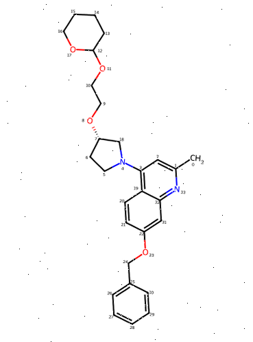 Cc1cc(N2CC[C@H](OCCOC3CCCCO3)C2)c2ccc(OCc3ccccc3)cc2n1